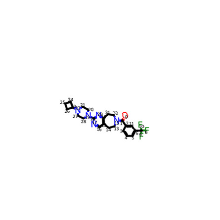 O=C(c1cccc(C(F)(F)F)c1)N1CCc2cnc(N3CCN(C4CCC4)CC3)nc2CC1